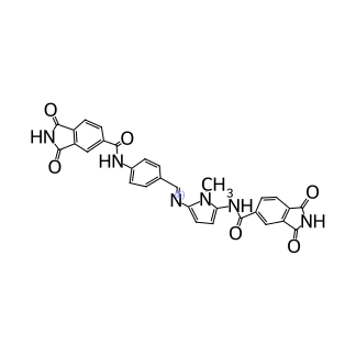 Cn1c(/N=C/c2ccc(NC(=O)c3ccc4c(c3)C(=O)NC4=O)cc2)ccc1NC(=O)c1ccc2c(c1)C(=O)NC2=O